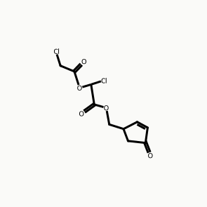 O=C1C=CC(COC(=O)C(Cl)OC(=O)CCl)C1